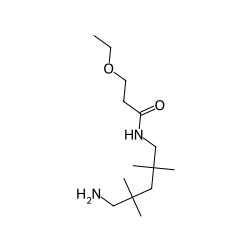 CCOCCC(=O)NCC(C)(C)CC(C)(C)CN